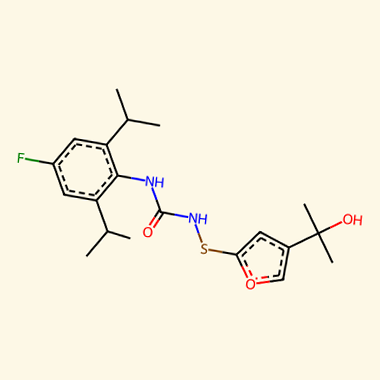 CC(C)c1cc(F)cc(C(C)C)c1NC(=O)NSc1cc(C(C)(C)O)co1